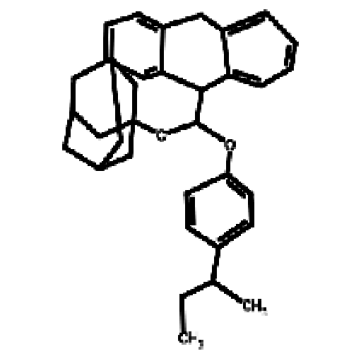 CCC(C)c1ccc(OC(OC23CC4CC(CC(C4)C2)C3)C2c3ccccc3Cc3ccccc32)cc1